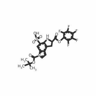 CC(C)(C)OC(=O)n1ccc2c3c(c(S(=O)(=O)O)cc21)NC(C(=O)Oc1c(F)c(F)c(F)c(F)c1F)C3